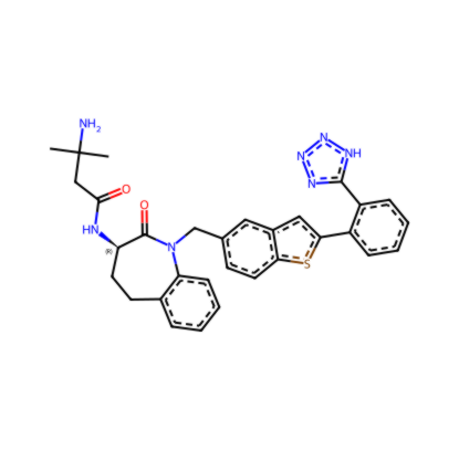 CC(C)(N)CC(=O)N[C@@H]1CCc2ccccc2N(Cc2ccc3sc(-c4ccccc4-c4nnn[nH]4)cc3c2)C1=O